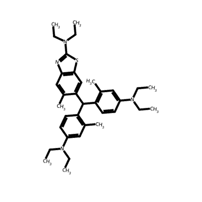 CCN(CC)c1ccc(C(c2ccc(N(CC)CC)cc2C)c2cc3sc(N(CC)CC)nc3cc2C)c(C)c1